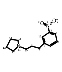 O=[N+]([O-])c1cccc([CH]CCN2CCCC2)c1